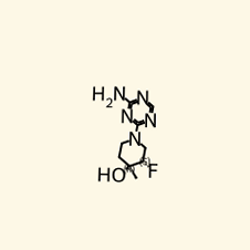 C[C@@]1(O)CCN(c2ncnc(N)n2)C[C@@H]1F